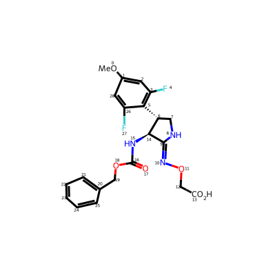 COc1cc(F)c([C@@H]2CN/C(=N\OCC(=O)O)[C@H]2NC(=O)OCc2ccccc2)c(F)c1